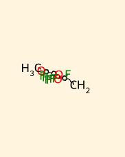 C=CCCc1ccc(C(=O)Oc2ccc3c(c2F)C(F)(F)C(F)(F)c2c-3ccc(OCC)c2F)cc1F